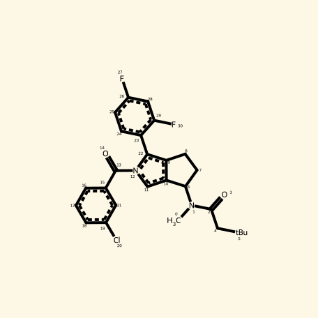 CN(C(=O)CC(C)(C)C)C1CCc2c1cn(C(=O)c1cccc(Cl)c1)c2-c1ccc(F)cc1F